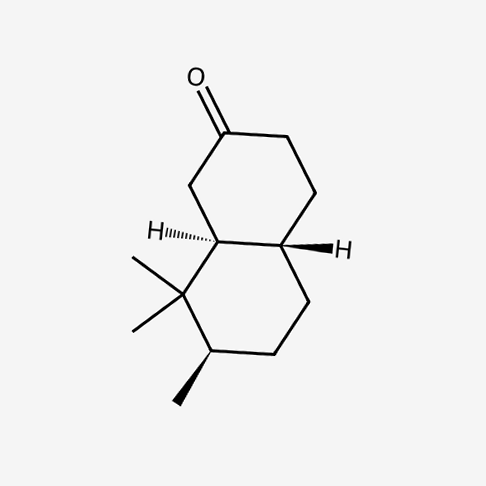 C[C@@H]1CC[C@H]2CCC(=O)C[C@@H]2C1(C)C